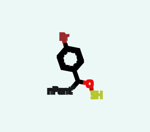 CCCCCC(OS)c1ccc(Br)cc1